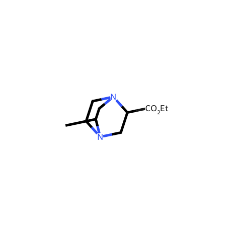 CCOC(=O)C1CN2CCN1CC2C